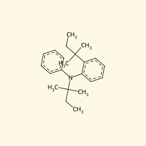 CCC(C)(C)c1ccccc1N(c1ccccc1)C(C)(C)CC